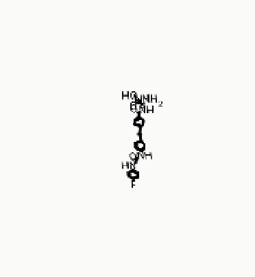 NC[C@H](NC(=O)c1ccc(C#Cc2ccc(NC(=O)CNc3ccc(F)cc3)cc2)cc1)C(=O)NO